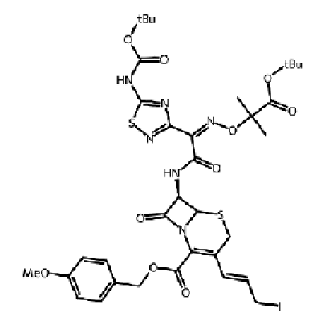 COc1ccc(COC(=O)C2=C(/C=C/CI)CSC3[C@H](NC(=O)/C(=N\OC(C)(C)C(=O)OC(C)(C)C)c4nsc(NC(=O)OC(C)(C)C)n4)C(=O)N23)cc1